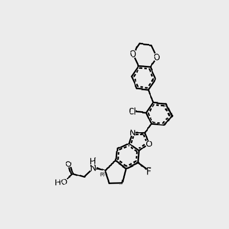 O=C(O)CN[C@@H]1CCc2c1cc1nc(-c3cccc(-c4ccc5c(c4)OCCO5)c3Cl)oc1c2F